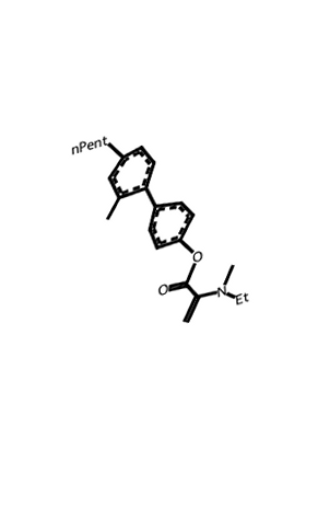 C=C(C(=O)Oc1ccc(-c2ccc(CCCCC)cc2C)cc1)N(C)CC